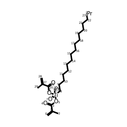 C=C(C)C(=O)[O][Ti](=[O])([CH2]CCCCCCCCCCCCCCC(C)C)([O]C(=O)C(=C)C)[CH](C)C